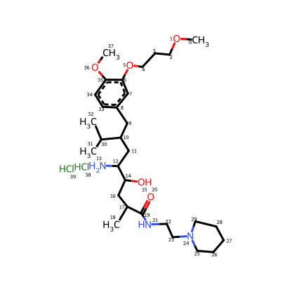 COCCCOc1cc(CC(CC(N)C(O)CC(C)C(=O)NCCN2CCCCC2)C(C)C)ccc1OC.Cl.Cl